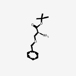 CC(C)(C)OC(=O)[C@@H](N)COCc1ccccc1